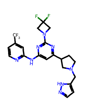 FC1(F)CN(c2nc(Nc3cc(C(F)(F)F)ccn3)cc(C3CCN(Cc4ccn[nH]4)C3)n2)C1